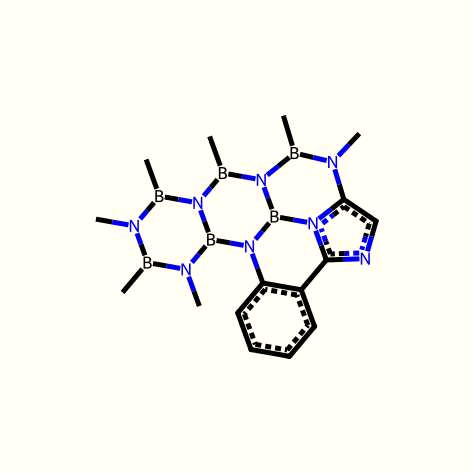 CB1N(C)B(C)N2B(C)N3B(C)N(C)c4cnc5n4B3N(B2N1C)c1ccccc1-5